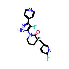 O=C1[C@@H](Cc2ccc(F)nc2)CCCN1c1[nH]nc(-c2ccncc2)c1F